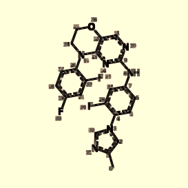 Cc1cn(-c2ccc(Nc3ncc4c(n3)N(c3ccc(F)cc3F)CCO4)cc2F)cn1